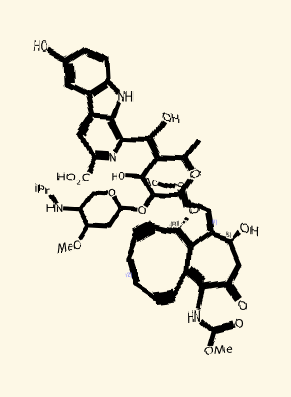 COC(=O)NC1=C2C#C/C=C\C#C[C@H](OC3OC(C)C(C(O)c4nc(C(=O)O)cc5c4[nH]c4ccc(O)cc45)C(O)C3OC3CC(OC)C(NC(C)C)CO3)C2/C(=C\CSC(C)=O)[C@@H](O)CC1=O